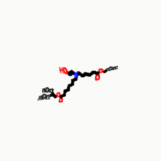 CCCCCCCCCCCOC(=O)CCCCCN(CCO)CCCCCCCC(=O)OCC(CCCCCCCC)CCCCCCCC